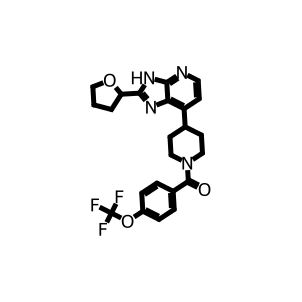 O=C(c1ccc(OC(F)(F)F)cc1)N1CCC(c2ccnc3[nH]c(C4CCCO4)nc23)CC1